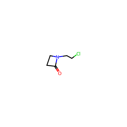 O=C1CCN1CCCl